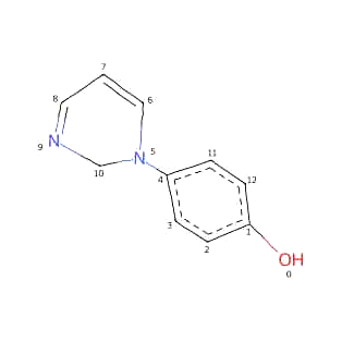 Oc1ccc(N2C=CC=NC2)cc1